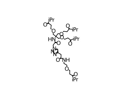 CC(C)C(=O)CCOCCNC(=O)Cc1cn(CC(=O)NC(COCCC(=O)C(C)C)(COCCC(=O)C(C)C)COCCC(=O)C(C)C)nn1